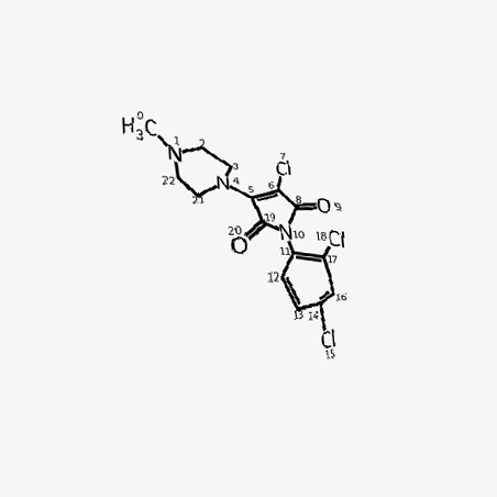 CN1CCN(C2=C(Cl)C(=O)N(c3ccc(Cl)cc3Cl)C2=O)CC1